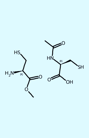 CC(=O)N[C@@H](CS)C(=O)O.COC(=O)[C@@H](N)CS